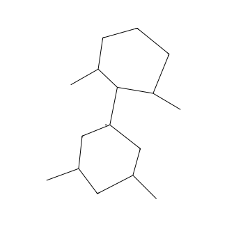 CC1C[C](C2C(C)CCCC2C)CC(C)C1